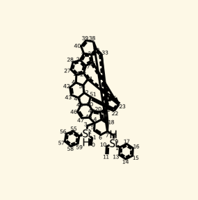 C=C[SiH](CC12C=CC3(C[SiH](C=C)c4ccccc4)c4c1c1c5c6c7c8c9c(ccc%10c%11c%12c(c4c5c7c%12c%109)C3C=C%11)C3C=CC4C5C=CC2C=1C5C=6C4C83)c1ccccc1